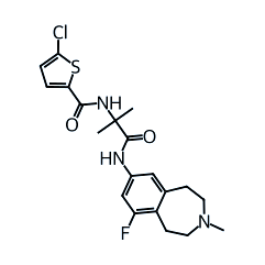 CN1CCc2cc(NC(=O)C(C)(C)NC(=O)c3ccc(Cl)s3)cc(F)c2CC1